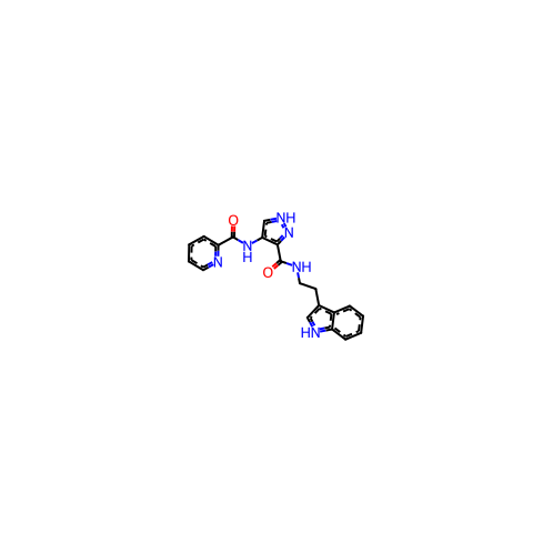 O=C(Nc1c[nH]nc1C(=O)NCCc1c[nH]c2ccccc12)c1ccccn1